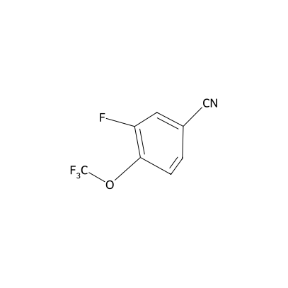 N#Cc1ccc(OC(F)(F)F)c(F)c1